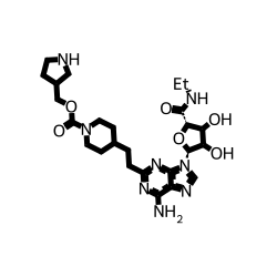 CCNC(=O)[C@H]1O[C@@H](n2cnc3c(N)nc(CCC4CCN(C(=O)OCC5CCNC5)CC4)nc32)C(O)C1O